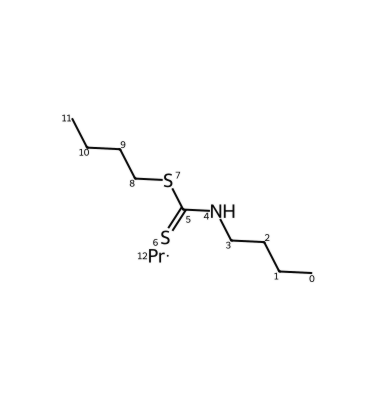 CCCCNC(=S)SCCCC.[Pr]